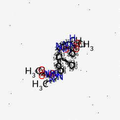 CCCN(Cc1nc2ccc3cc(C4=C(C#Cc5ccccc5)CC(c5cnc(CN(CCC)C(=O)[C@H](NC(=O)OC)c6ccccc6)[nH]5)C=C4)ccc3c2[nH]1)C(=O)CNC(=O)OC